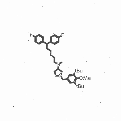 COc1c(C(C)(C)C)cc(CN2CCC(N(C)CCCCCC(c3ccc(F)cc3)c3ccc(F)cc3)C2)cc1C(C)(C)C